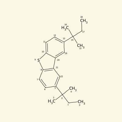 CCC(C)(C)c1ccc2sc3ccc(C(C)(C)CC)cc3c2c1